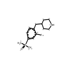 CP(C)(=O)c1ccc(CC2CCNCC2)c(F)c1